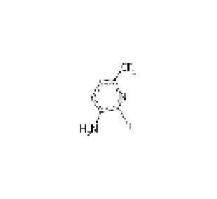 Nc1ccc(C(F)(F)F)nc1I